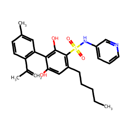 C=C(C)c1ccc(C)cc1-c1c(O)cc(CCCCC)c(S(=O)(=O)Nc2cccnc2)c1O